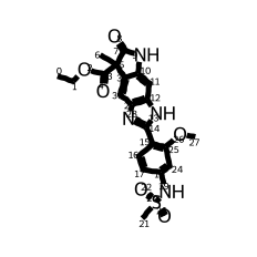 CCOC(=O)C1(C)C(=O)Nc2cc3[nH]c(-c4ccc(NS(C)(=O)=O)cc4OC)nc3cc21